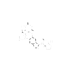 C[C@@H]1CN2c3c(cc4c(N5C(=O)S[C@H]6CCC[C@H]65)noc4c3F)CC3(C(=O)NC(=O)NC3=O)[C@H]2[C@H](C)O1